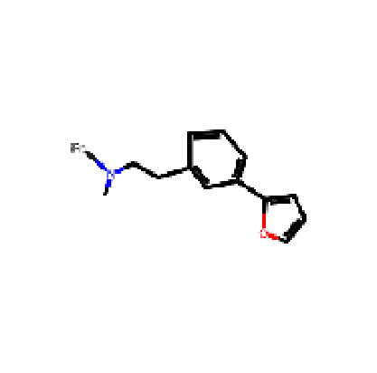 CC(C)N(C)CCc1cccc(-c2ccco2)c1